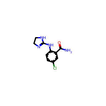 NC(=O)c1cc(Cl)ccc1NC1=NCCN1